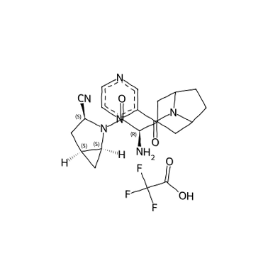 N#C[C@@H]1C[C@@H]2C[C@@H]2N1C(=O)[C@H](N)C1CC2CCC(C1)N2C(=O)c1cnccn1.O=C(O)C(F)(F)F